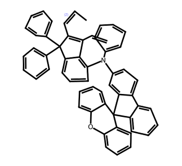 C=CC1=C(/C=C\C)C(c2ccccc2)(c2ccccc2)c2cccc(N(c3ccccc3)c3ccc4c(c3)C3(c5ccccc5Oc5ccccc53)c3ccccc3-4)c21